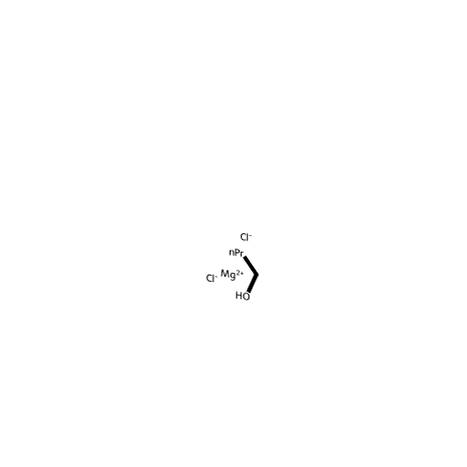 CCCCO.[Cl-].[Cl-].[Mg+2]